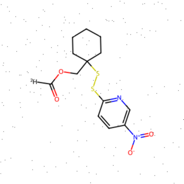 [2H]C(=O)OCC1(SSc2ccc([N+](=O)[O-])cn2)CCCCC1